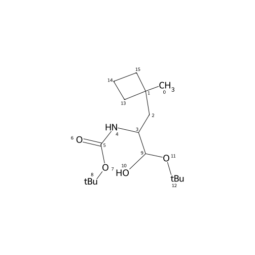 CC1(CC(NC(=O)OC(C)(C)C)C(O)OC(C)(C)C)CCC1